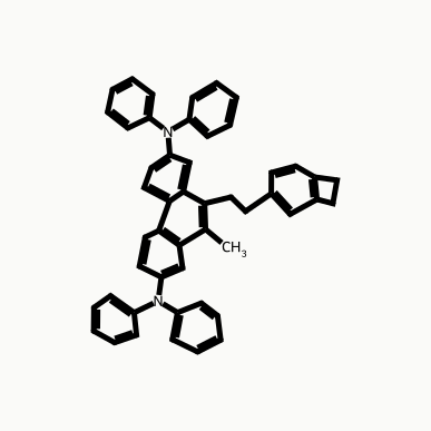 Cc1c(CCc2ccc3c(c2)CC3)c2cc(N(c3ccccc3)c3ccccc3)ccc2c2ccc(N(c3ccccc3)c3ccccc3)cc12